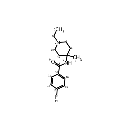 CCN1CCC(C)(NC(=O)c2ccc(F)cc2)CC1